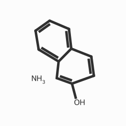 N.Oc1ccc2ccccc2c1